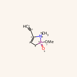 C#CC1=CCP(=O)(OC)N1C